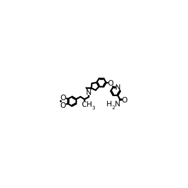 CC(Cc1ccc2c(c1)OCO2)CN1CC12Cc1ccc(Oc3ccc(C(N)=O)cn3)cc1C2